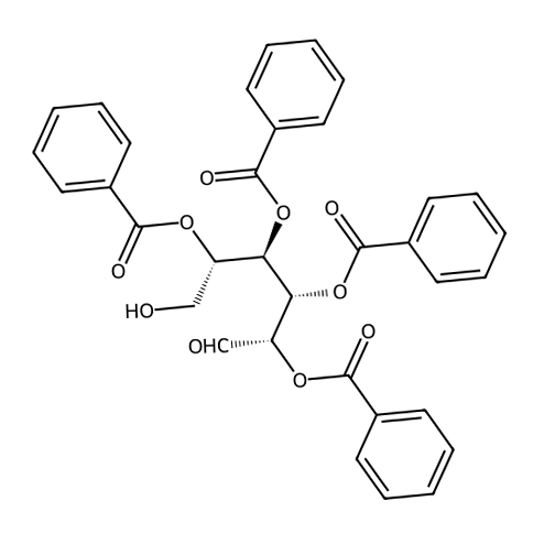 O=C[C@@H](OC(=O)c1ccccc1)[C@@H](OC(=O)c1ccccc1)[C@H](OC(=O)c1ccccc1)[C@H](CO)OC(=O)c1ccccc1